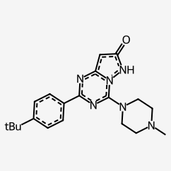 CN1CCN(c2nc(-c3ccc(C(C)(C)C)cc3)nc3cc(=O)[nH]n23)CC1